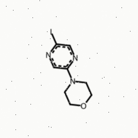 Ic1cnc(N2CCOCC2)cn1